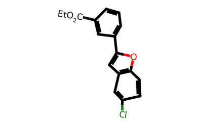 CCOC(=O)c1cccc(-c2cc3cc(Cl)ccc3o2)c1